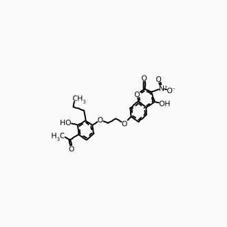 CCCc1c(OCCOc2ccc3c(O)c([N+](=O)[O-])c(=O)oc3c2)ccc(C(C)=O)c1O